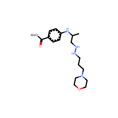 COC(=O)c1ccc(NC(C)CNNCCCN2CCOCC2)cc1